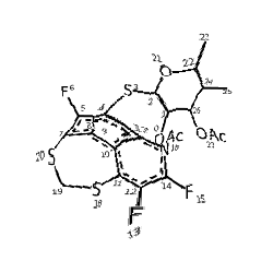 CC(=O)OC1C(Sc2c(F)c3c(F)c4c(c(F)c(F)nc24)SCS3)OC(C)C(C)C1OC(C)=O